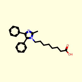 Cc1nc(-c2ccccc2)c(-c2ccccc2)n1CCCCCCCC(=O)O